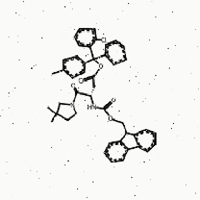 Cc1ccc(C(OC(=O)C[C@H](NC(=O)OCC2c3ccccc3-c3ccccc32)C(=O)N2CCC(C)(C)C2)(c2ccccc2)c2ccccc2Cl)cc1